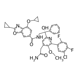 CCOc1c(CC(N)=O)cc([C@@](O)(CNC(=O)c2cc(OC3CC3)c3nc(C4CC4)oc3c2)c2ccccc2)nc1-c1cc(Cl)c(F)cc1F